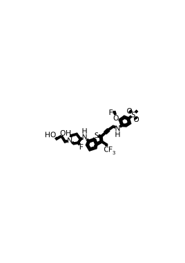 CS(=O)(=O)c1ccc(NCC#Cc2sc3c(NC4CCN(CC(O)CO)CC4F)cccc3c2CC(F)(F)F)c(OCF)c1